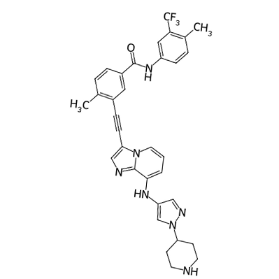 Cc1ccc(C(=O)Nc2ccc(C)c(C(F)(F)F)c2)cc1C#Cc1cnc2c(Nc3cnn(C4CCNCC4)c3)cccn12